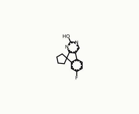 Oc1ncc2c(n1)C1(CCCC1)c1cc(F)ccc1-2